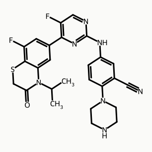 CC(C)N1C(=O)CSc2c(F)cc(-c3nc(Nc4ccc(N5CCNCC5)c(C#N)c4)ncc3F)cc21